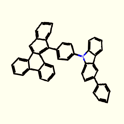 c1ccc(-c2ccc3c(c2)c2ccccc2n3-c2ccc(-c3c4ccccc4cc4c5ccccc5c5ccccc5c34)cc2)cc1